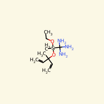 C=CC(C)(C=C)O[Si](C)(OCC)C(N)(N)N